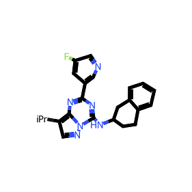 CC(C)c1cnn2c(NC3CCc4ccccc4C3)nc(-c3cncc(F)c3)nc12